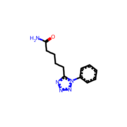 NC(=O)CCCCc1nnnn1-c1ccccc1